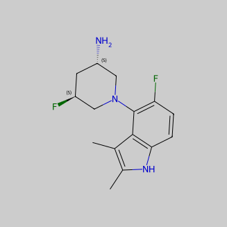 Cc1[nH]c2ccc(F)c(N3C[C@@H](N)C[C@H](F)C3)c2c1C